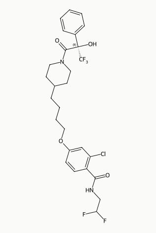 O=C(NCC(F)F)c1ccc(OCCCCC2CCN(C(=O)[C@](O)(c3ccccc3)C(F)(F)F)CC2)cc1Cl